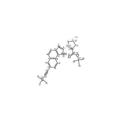 C[C@H]1C[C@@H](c2nc3ccc4cc(C#C[Si](C)(C)C)ccc4c3[nH]2)N(C(=O)OC(C)(C)C)C1